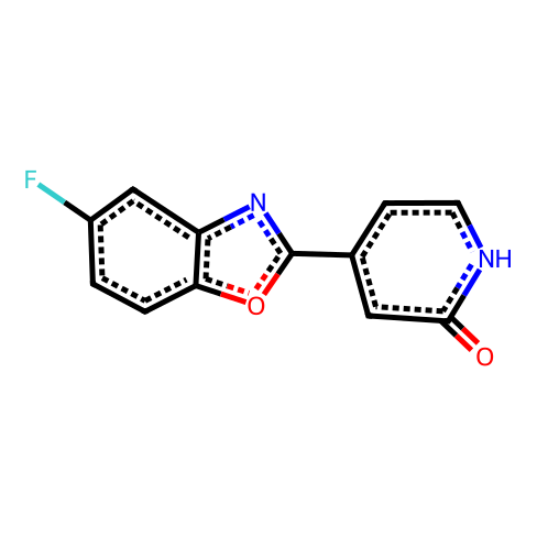 O=c1cc(-c2nc3cc(F)ccc3o2)cc[nH]1